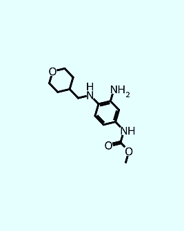 COC(=O)Nc1ccc(NCC2CCOCC2)c(N)c1